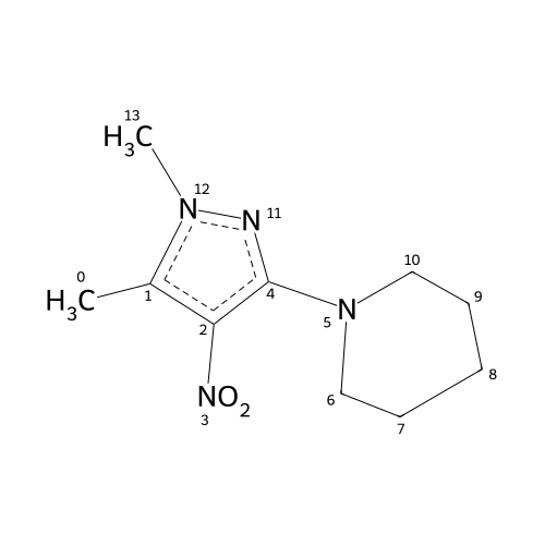 Cc1c([N+](=O)[O-])c(N2CCCCC2)nn1C